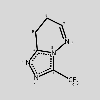 FC(F)(F)c1nnc2n1N=CCC2